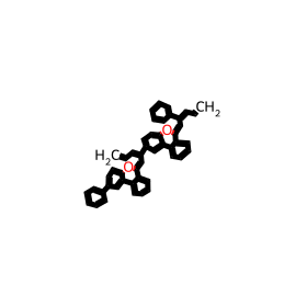 C=C/C=C(\C=C1/Oc2ccc(C(/C=C3\Oc4ccc(-c5ccccc5)cc4-c4ccccc43)=C/C=C)cc2-c2ccccc21)c1ccccc1